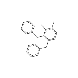 Cc1ccc(Cc2ccccc2)c(Cc2ccccc2)c1C